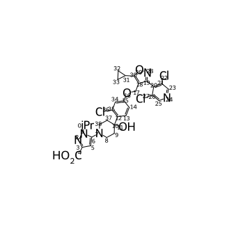 CC(C)n1nc(C(=O)O)cc1N1CCC(O)(c2ccc(OCc3c(-c4c(Cl)cncc4Cl)noc3C3CC3)cc2Cl)CC1